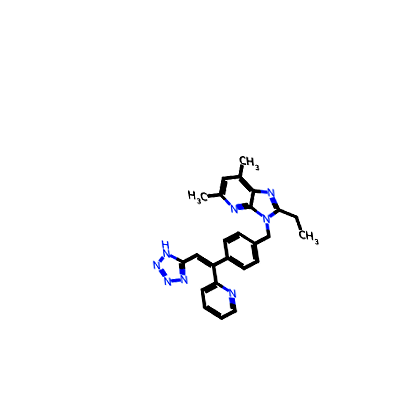 CCc1nc2c(C)cc(C)nc2n1Cc1ccc(C(=Cc2nnn[nH]2)c2ccccn2)cc1